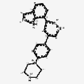 c1cc(-c2cc(-c3ccc(N4CCNCC4)cc3)cnn2)c2[nH]ncc2c1